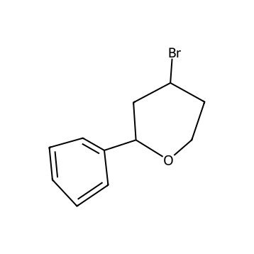 BrC1CCOC(c2ccccc2)C1